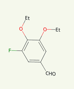 CCOc1cc(C=O)cc(F)c1OCC